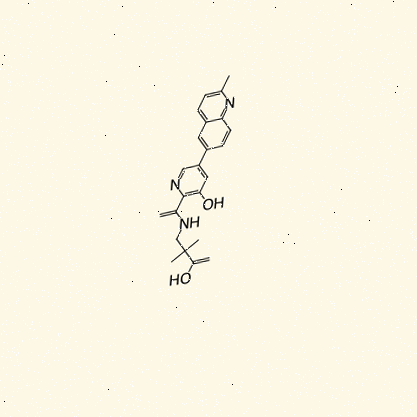 C=C(NCC(C)(C)C(=C)O)c1ncc(-c2ccc3nc(C)ccc3c2)cc1O